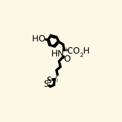 O=C(CCCC[C@@H]1CCSS1)N[C@@H](Cc1ccc(O)cc1)C(=O)O